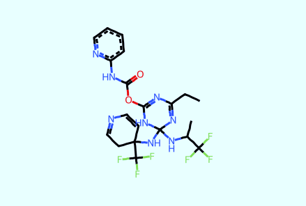 CCC1=NC(NC(C)C(F)(F)F)(NC2(C(F)(F)F)C=CN=CC2)NC(OC(=O)Nc2ccccn2)=N1